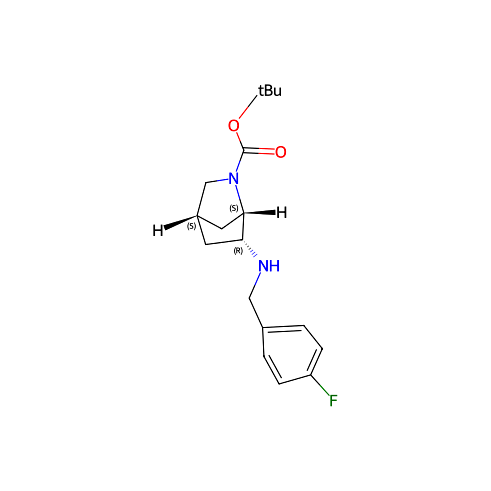 CC(C)(C)OC(=O)N1C[C@H]2C[C@@H](NCc3ccc(F)cc3)[C@@H]1C2